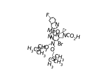 COCC1(N(Cc2nc3c(-c4cnc5ccc(F)cc5c4)cnn3c(N(COCC[Si](C)(C)C)COCC[Si](C)(C)C)c2Br)C(=O)O)CC1